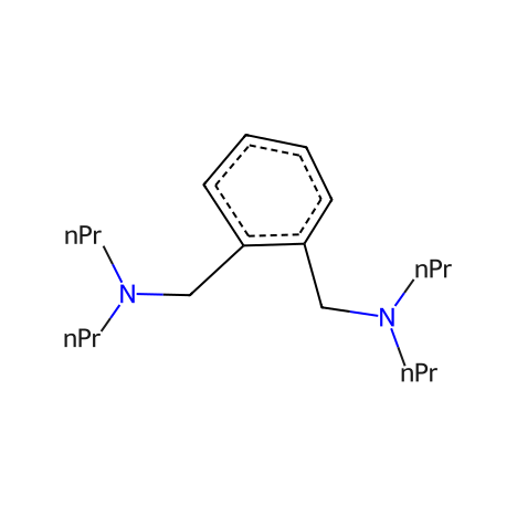 CCCN(CCC)Cc1ccccc1CN(CCC)CCC